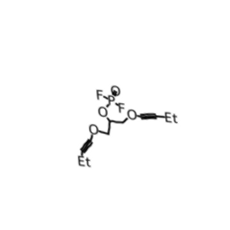 CCC#COCC(COC#CCC)OP(=O)(F)F